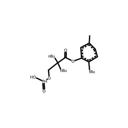 CCCCC(CCCC)(CO[PH](=O)O)C(=O)Oc1cc(C)ccc1C(C)(C)C